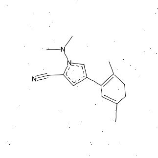 CC1=CC(c2cc(C#N)n(N(C)C)c2)=C(C)CC1